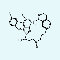 CCN(CCCc1ccc2c(c1)C(C)NCC2)CCC(C)c1cc2c(-c3cc(F)ccc3OC)c(F)cnc2[nH]1